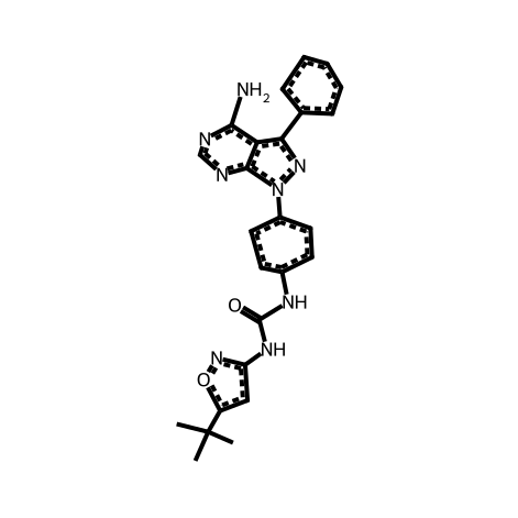 CC(C)(C)c1cc(NC(=O)Nc2ccc(-n3nc(-c4ccccc4)c4c(N)ncnc43)cc2)no1